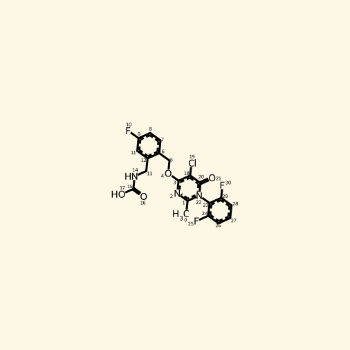 Cc1nc(OCc2ccc(F)cc2CNC(=O)O)c(Cl)c(=O)n1-c1c(F)cccc1F